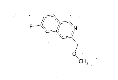 COCc1cc2cc(F)ccc2cn1